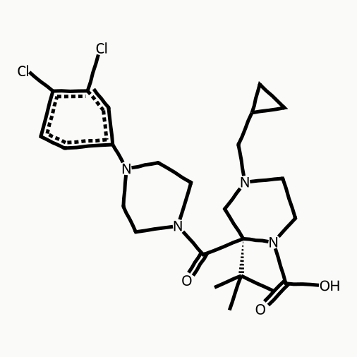 CC(C)(C)[C@]1(C(=O)N2CCN(c3ccc(Cl)c(Cl)c3)CC2)CN(CC2CC2)CCN1C(=O)O